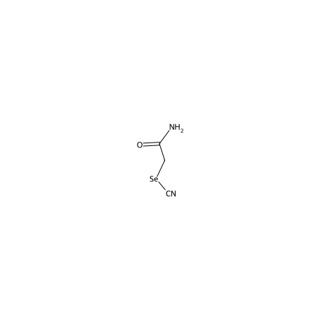 N#C[Se]CC(N)=O